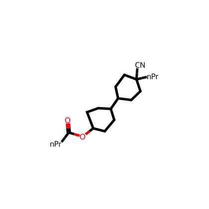 CCCC(=O)OC1CCC(C2CCC(C#N)(CCC)CC2)CC1